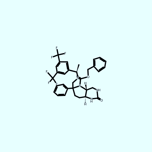 C[C@@H](OCC1(c2ccccc2)CC[C@@H]2NC(=O)NC[C@H]2N1C(=O)OCc1ccccc1)c1cc(C(F)(F)F)cc(C(F)(F)F)c1